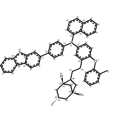 Cc1ccccc1Oc1ccc(N(c2ccc(-c3ccc4c(c3)sc3ccccc34)cc2)c2cccc3ccccc23)cc1CCC1C[C@@H]2C[C@H](C)C[C@H]1C2